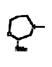 CN[C@H]1CN(C)CCCO1